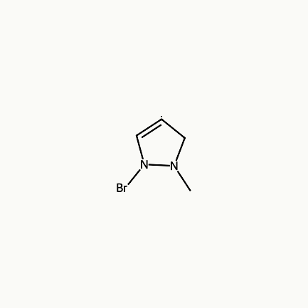 CN1C[C]=CN1Br